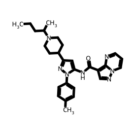 CCCC(C)N1CCC(c2cc(NC(=O)c3cnn4cccnc34)n(-c3ccc(C)cc3)n2)CC1